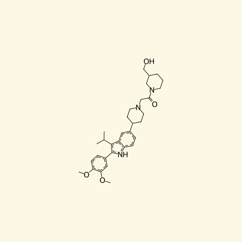 COc1ccc(-c2[nH]c3ccc(C4CCN(CC(=O)N5CCCC(CO)C5)CC4)cc3c2C(C)C)cc1OC